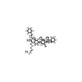 CCCCC[C@@H](NC(=O)OCc1ccccc1)c1ccc(-n2cc(I)c(NC(=O)c3ccccc3)nc2=O)cc1